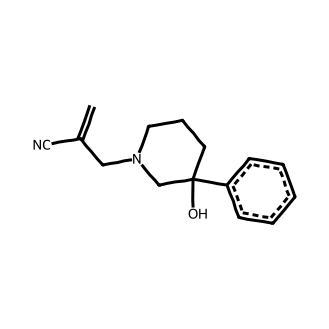 C=C(C#N)CN1CCCC(O)(c2ccccc2)C1